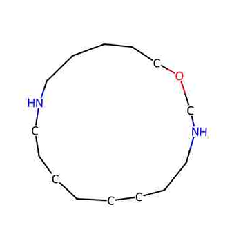 C1CCCCNCOCCCCCNCCC1